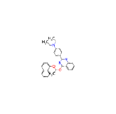 CCN(CC)c1ccc(-c2nc(OC(C)Oc3cccc4ccccc34)c3ccccc3n2)cc1